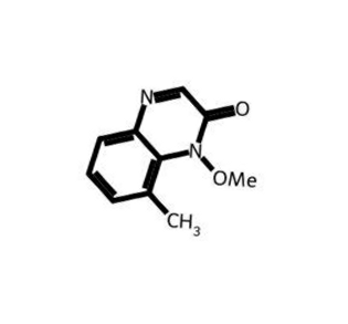 COn1c(=O)cnc2cccc(C)c21